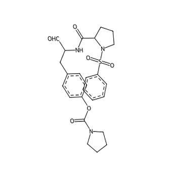 O=CC(Cc1ccc(OC(=O)N2CCCC2)cc1)NC(=O)C1CCCN1S(=O)(=O)c1ccccc1